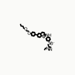 CCCCOCCOc1ccc(-c2ccc(OC)c(/C=C\C(=O)Nc3ccc([S@@+]([O-])Cc4cncn4CC)cc3)c2)cc1